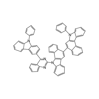 c1ccc(-n2c3ccccc3c3cc(-c4nc(-n5c6ccccc6c6cc(-c7cc8c(c9ccccc79)c7ccccc7n8-c7ccccc7)c7ccccc7c65)nc5ccccc45)ccc32)cc1